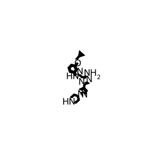 Nc1ncc(-c2cnn(C3CCNCC3)c2)nc1-c1nc2c(OCC3CC3)cccc2[nH]1